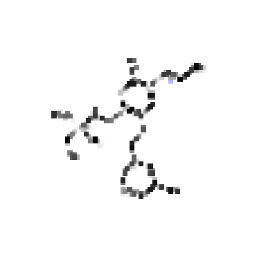 CC(C)(C)/C=C/c1cc(CCc2cncc(C#N)c2)c(CN[C@@](C)(CO)C(=O)O)cc1C(F)(F)F